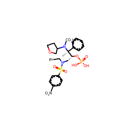 CC(C)CN(C[C@@H](OP(=O)(O)O)[C@](C)(c1ccccc1)N(C(=O)O)C1CCOC1)S(=O)(=O)c1ccc([N+](=O)[O-])cc1